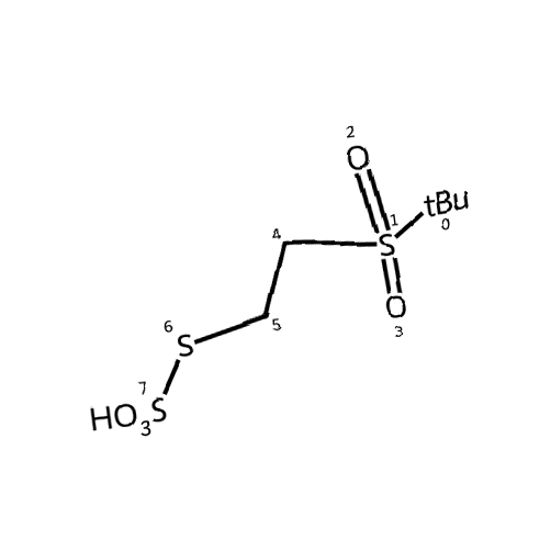 CC(C)(C)S(=O)(=O)CCSS(=O)(=O)O